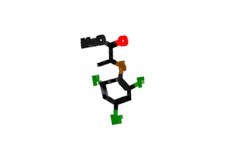 COC(=O)C(C)Sc1c(F)cc(Br)cc1F